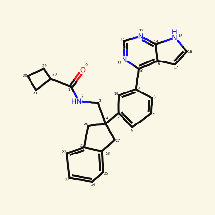 O=C(NCC1(c2cccc(-c3ncnc4[nH]ccc34)c2)Cc2ccccc2C1)C1CCC1